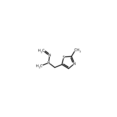 C=NN(C)Cc1cnc(C)s1